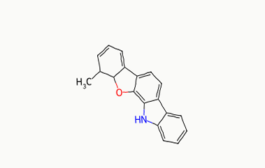 CC1C=CC=C2c3ccc4c([nH]c5ccccc54)c3OC21